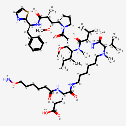 CC[C@H](C)[C@@H]([C@@H](CC(=O)N1CCC[C@H]1[C@H](OC)[C@@H](C)C(=O)N[C@@H](Cc1ccccc1)c1nccs1)OC)N(C)C(=O)[C@@H](NC(=O)[C@H](C(C)C)N(C)CCCCCCNC(=O)[C@H](CCC(=O)O)NC(=O)CCCCCON)C(C)C